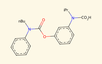 CCCCN(C(=O)Oc1cccc(N(C(=O)O)C(C)C)c1)c1ccccc1